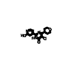 O=c1[nH]c(-c2ccnc(O)c2)nc(C2CCOCC2)c1Cl